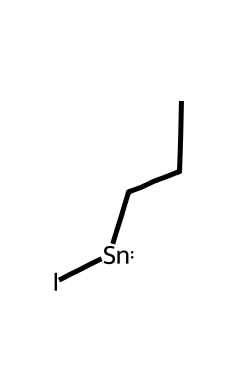 CC[CH2][Sn][I]